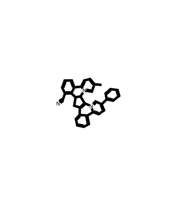 Cc1ccc2[n+](c1)C1c3c(c4ccccc4c4ccc(-c5ccccc5)c[n+]34)CC1c1c(C#N)cccc1-2